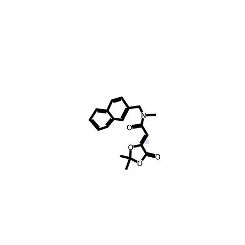 CN(Cc1ccc2ccccc2c1)C(=O)/C=C1\OC(C)(C)OC1=O